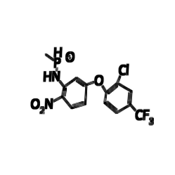 C[PH](=O)Nc1cc(Oc2ccc(C(F)(F)F)cc2Cl)ccc1[N+](=O)[O-]